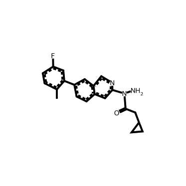 Cc1ccc(F)cc1-c1ccc2cc(N(N)C(=O)CC3CC3)ncc2c1